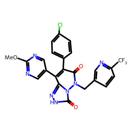 COc1ncc(-c2c(-c3ccc(Cl)cc3)c(=O)n(Cc3ccc(C(F)(F)F)nc3)n3c(=O)[nH]nc23)cn1